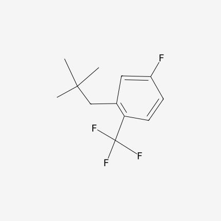 CC(C)(C)Cc1cc(F)ccc1C(F)(F)F